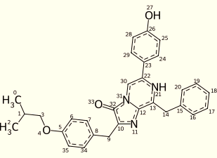 CC(C)COc1ccc(Cc2nc3c(Cc4ccccc4)[nH]c(-c4ccc(O)cc4)cn-3c2=O)cc1